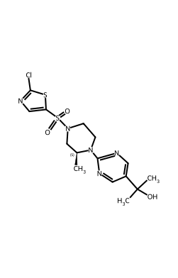 C[C@H]1CN(S(=O)(=O)c2cnc(Cl)s2)CCN1c1ncc(C(C)(C)O)cn1